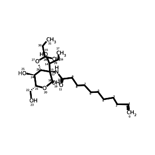 C=CCCCCCCCCC(=O)N[C@@]1(C(O)CC)C(O)O[C@H](CO)[C@@H](O)[C@@H]1OC(O)CC